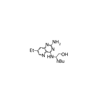 CCCC[C@H](CO)Nc1nc(N)nc2cc(CC)cnc12